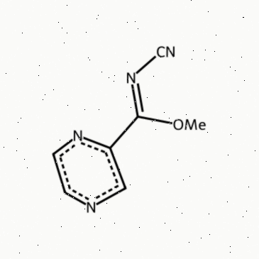 COC(=NC#N)c1cnccn1